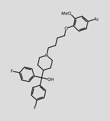 COc1cc(C(C)=O)ccc1OCCCCN1CCC(C(O)(c2ccc(F)cc2)c2ccc(F)cc2)CC1